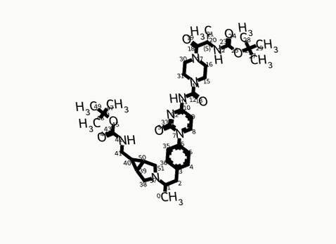 CC(Cc1ccc(-n2ccc(NC(=O)N3CCN(C(=O)[C@H](C)NC(=O)OC(C)(C)C)CC3)nc2=O)cc1)N1CC2C(CNC(=O)OC(C)(C)C)C2C1